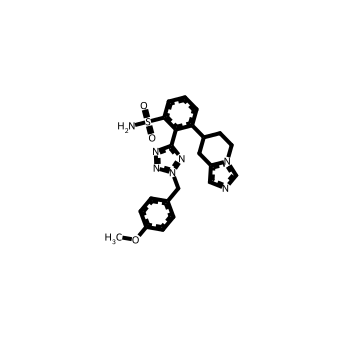 COc1ccc(Cn2nnc(-c3c(C4CCn5cncc5C4)cccc3S(N)(=O)=O)n2)cc1